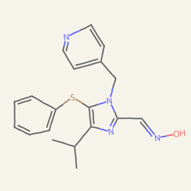 CC(C)c1nc(/C=N/O)n(Cc2ccncc2)c1Sc1ccccc1